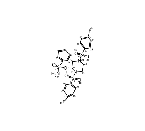 NS(=O)(=O)c1ccccc1.O=S(=O)(c1ccc(F)cc1)N1CCN(S(=O)(=O)c2ccc(F)cc2)CC1